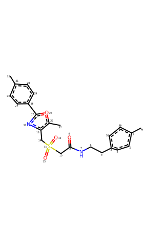 Cc1ccc(CCNC(=O)CS(=O)(=O)Cc2nc(-c3ccc(C)cc3)oc2C)cc1